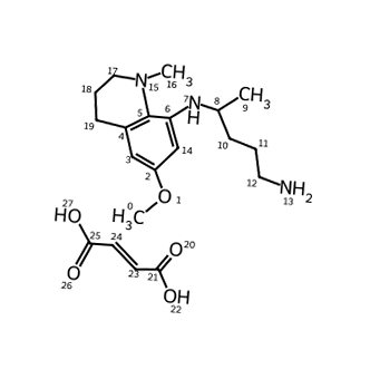 COc1cc2c(c(NC(C)CCCN)c1)N(C)CCC2.O=C(O)/C=C/C(=O)O